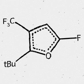 CC(C)(C)c1oc(F)cc1C(F)(F)F